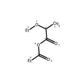 CCOC(C)C(=O)OC(=O)CC